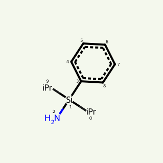 CC(C)[Si](N)(c1ccccc1)C(C)C